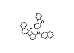 c1ccc2cc(N(c3ccc4c(c3)oc3ccccc34)c3cccc4c3oc3c5ccccc5ccc43)ccc2c1